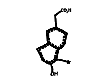 O=C(O)Cc1ccc2c(Br)c(O)ccc2c1